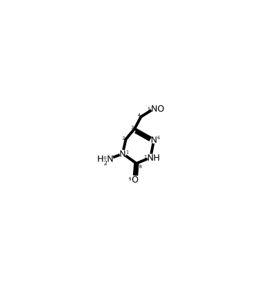 NN1CC(CN=O)=NNC1=O